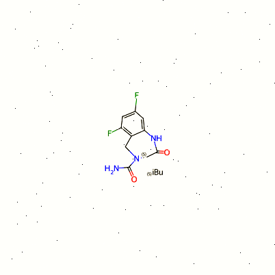 CC[C@H](C)[C@H]1C(=O)Nc2cc(F)cc(F)c2CN1C(N)=O